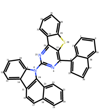 c1ccc2c(-c3nc(-n4c5ccccc5c5ccc6ccccc6c54)nc4c3sc3ccccc34)cccc2c1